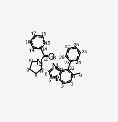 Cc1ccn2cc([C@@H]3CCCN3C(=O)c3ccccc3)nc2c1-c1ccccc1